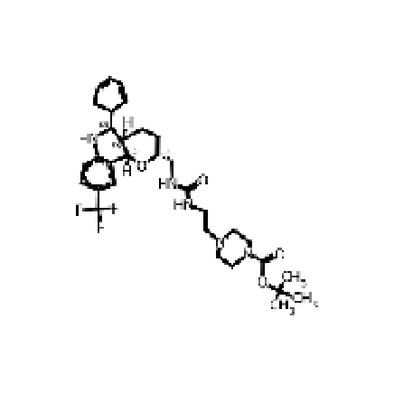 CC(C)(C)OC(=O)N1CCN(CCNC(=O)NC[C@H]2CC[C@@H]3[C@H](O2)c2cc(C(F)(F)F)ccc2N[C@H]3C2C=CC=CC2)CC1